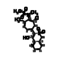 CC1=CC=C(C2=C(O)c3ncccc3CS2(=O)=O)CC(Cl)=C1N(C)S(C)(=O)=O